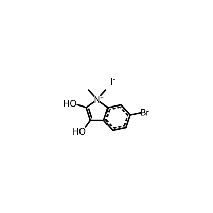 C[N+]1(C)C(O)=C(O)c2ccc(Br)cc21.[I-]